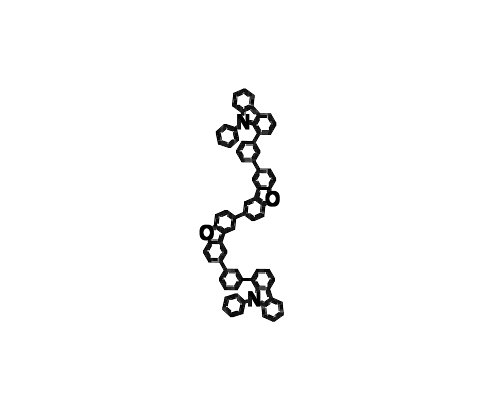 c1ccc(-n2c3ccccc3c3cccc(-c4cccc(-c5ccc6oc7ccc(-c8ccc9oc%10ccc(-c%11cccc(-c%12cccc%13c%14ccccc%14n(-c%14ccccc%14)c%12%13)c%11)cc%10c9c8)cc7c6c5)c4)c32)cc1